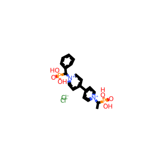 CC([n+]1ccc(-c2cc[n+](C(c3ccccc3)P(=O)(O)O)cc2)cc1)P(=O)(O)O.[Cl-].[Cl-]